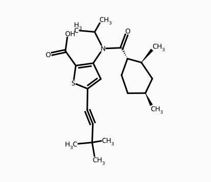 CC(C)N(C(=O)[C@H]1CC[C@H](C)C[C@@H]1C)c1cc(C#CC(C)(C)C)sc1C(=O)O